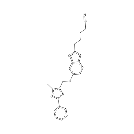 Cc1oc(-c2ccccc2)nc1COc1ccc2cc(CCCCC#N)oc2c1